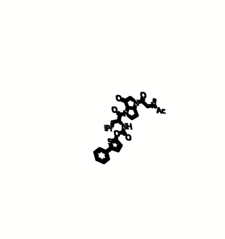 CC(=O)N(C)CC(=O)N1CC(=O)C2C1CCN2C(=O)C(CC(C)C)NC(=O)Oc1ccc(-c2ccccc2)s1